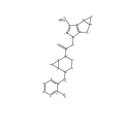 O=C(O)c1nn(CC(=O)N2CCC(Oc3ccccc3Cl)C3CC32)c2c1C1CC1C2